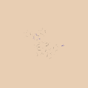 N#Cc1ccc(-c2cc3c(c4ccccc24)-c2ccccc2C32c3ccccc3Sc3c(-c4nc(-c5ccccc5)nc(-c5ccccc5)n4)cccc32)cc1